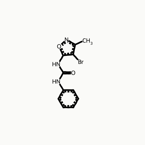 Cc1noc(NC(=O)Nc2ccccc2)c1Br